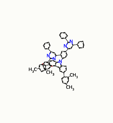 Cc1ccc(-c2ccc3c(c2)c2cc(-c4ccc(C)cc4C)ccc2n3-c2ccc(-c3cc(-c4ccccc4)nc(-c4ccccc4)n3)cc2-c2cc(-c3ccccc3)nc(-c3ccccc3)n2)c(C)c1